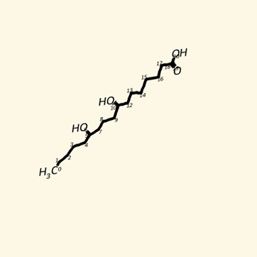 CCCCCC(O)CCCC(O)CCCCCCC(=O)O